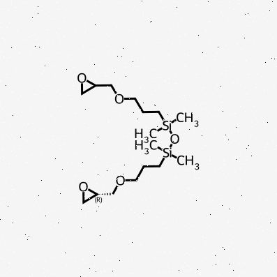 C[Si](C)(CCCOCC1CO1)O[Si](C)(C)CCCOC[C@@H]1CO1